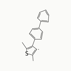 Cc1[c]c(-c2ccc(-c3ccccc3)cc2)c(C)s1